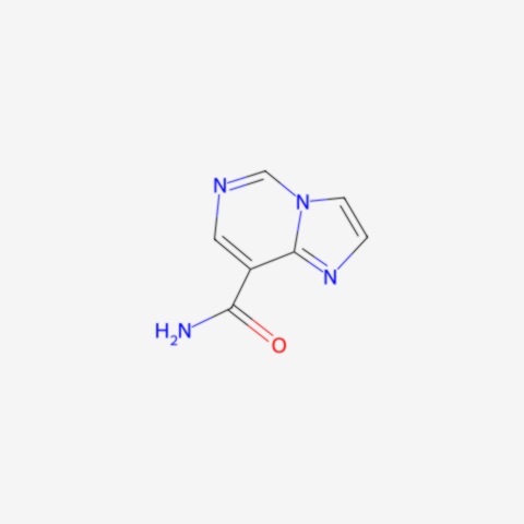 NC(=O)c1cncn2ccnc12